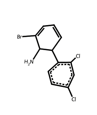 NC1C(Br)=CC=CC1c1ccc(Cl)cc1Cl